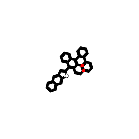 c1ccc(-c2ccccc2-c2c3ccccc3c(-c3cc4cc5ccccc5cc4o3)c3ccccc23)cc1